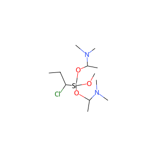 CCC(Cl)[Si](OC)(OC(C)N(C)C)OC(C)N(C)C